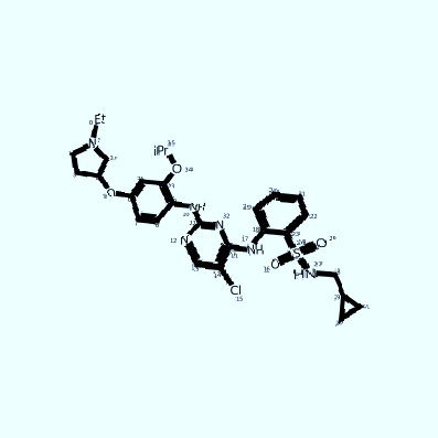 CCN1CCC(Oc2ccc(Nc3ncc(Cl)c(Nc4ccccc4S(=O)(=O)NCC4CC4)n3)c(OC(C)C)c2)C1